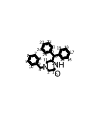 O=C1CN(Cc2ccccc2)CC(C(c2ccccc2)c2ccccc2)N1